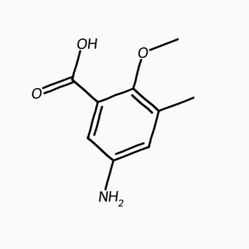 COc1c(C)cc(N)cc1C(=O)O